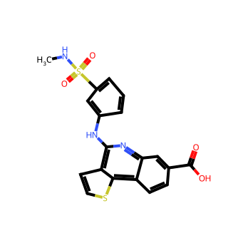 CNS(=O)(=O)c1cccc(Nc2nc3cc(C(=O)O)ccc3c3sccc23)c1